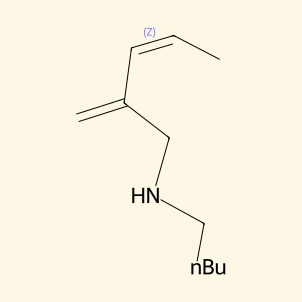 C=C(/C=C\C)CNCCCCC